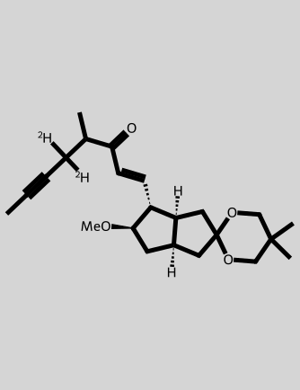 [2H]C([2H])(C#CC)C(C)C(=O)/C=C/[C@@H]1[C@H]2CC3(C[C@H]2C[C@H]1OC)OCC(C)(C)CO3